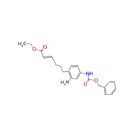 CCOC(=O)/C=C/CCCc1ccc(NC(=O)OCc2ccccc2)cc1N